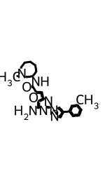 Cc1cccc(-c2cnn(-c3nc(N)c4oc(C(=O)NC5CCCCCN(C)C5)cc4n3)c2)c1